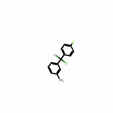 Cc1cccc(C(Cl)(Cl)c2ccc(F)cc2)c1